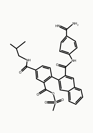 CC(C)CNC(=O)c1ccc(-c2cc3ccccc3cc2C(=O)Nc2ccc(C(=N)N)cc2)c(C(=O)OS(C)(=O)=O)c1